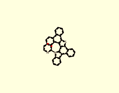 c1ccc(-n2c3ccccc3c3c4ccccc4c4sc5c6ccccc6c6ccccc6c5c4c32)nc1